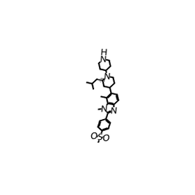 Cc1c(C2CCN(C3CCNCC3)[C@H](CC(C)C)C2)ccc2nc(-c3ccc(S(C)(=O)=O)cc3)n(C)c12